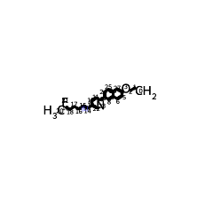 C=CCOc1ccc2cc(-c3ccc(/C=C/CCCC(C)F)cn3)ccc2c1